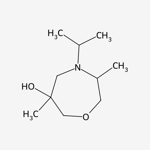 CC(C)N1CC(C)(O)COCC1C